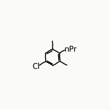 CCCc1c(C)cc(Cl)cc1C